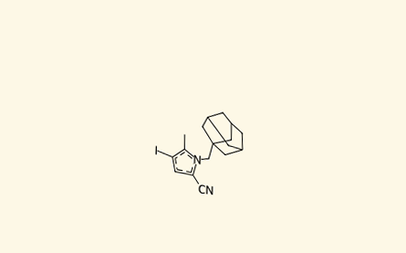 Cc1c(I)cc(C#N)n1CC12CC3CC(CC(C3)C1)C2